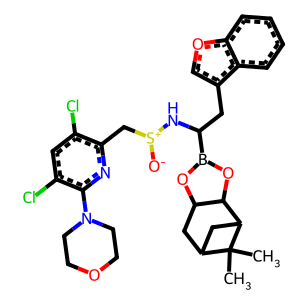 CC1(C)C2CC3OB(C(Cc4coc5ccccc45)N[S+]([O-])Cc4nc(N5CCOCC5)c(Cl)cc4Cl)OC3C1C2